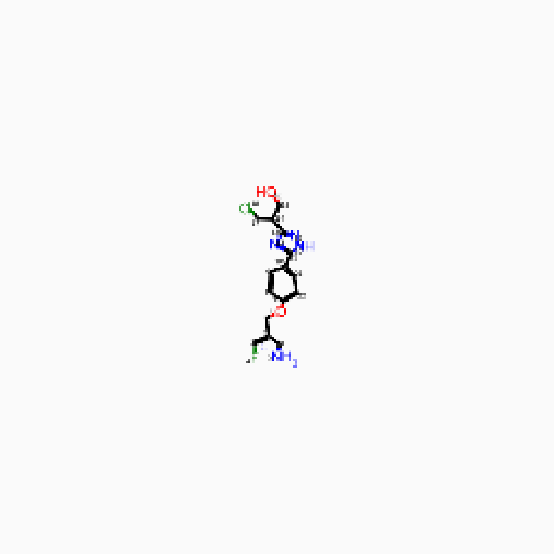 NC/C(=C\F)COc1ccc(-c2nc(C(CO)CCl)n[nH]2)cc1